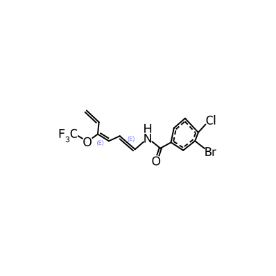 C=C/C(=C\C=C\NC(=O)c1ccc(Cl)c(Br)c1)OC(F)(F)F